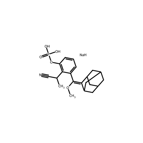 COC(=C1C2CC3CC(C2)CC1C3)c1cccc(OP(=O)(O)O)c1C(C)C#N.[NaH]